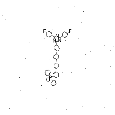 O=P(c1ccccc1)(c1ccccc1)c1cccc(-c2ccc(-c3ccc(-c4ccc(-c5nc(-c6ccc(F)cc6)nc(-c6ccc(F)cc6)n5)cc4)cc3)cc2)c1